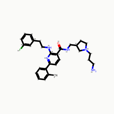 N#Cc1ccccc1-c1ccc(C(=O)NCC2CCN(CCCN)C2)c(NCCc2cccc(F)c2)n1